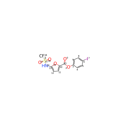 O=C(Oc1ccc(I)cc1)c1ccc(NS(=O)(=O)C(F)(F)F)o1